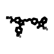 CNC(=S)N1CCc2c(c(-c3ccc(C(F)(F)F)cc3)nn2CCCN2CCC(n3c(=O)n(C)c4ccccc43)CC2)C1